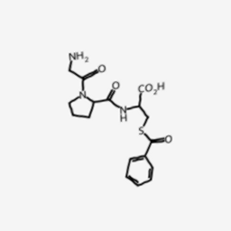 NCC(=O)N1CCCC1C(=O)NC(CSC(=O)c1ccccc1)C(=O)O